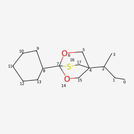 CCC(C)C12COC(C3CCCCC3)(OC1)SC2